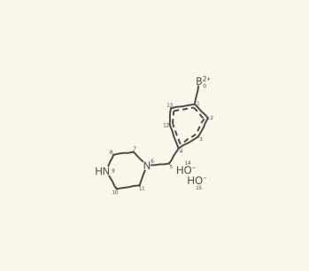 [B+2]c1ccc(CN2CCNCC2)cc1.[OH-].[OH-]